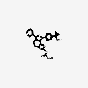 CNC1(c2ccc(-n3nc(-c4cccnc4)c4c3-c3sc(NC(=O)OC)nc3CC4)cc2)CC1